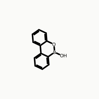 OB1Oc2ccccc2-c2ccccc21